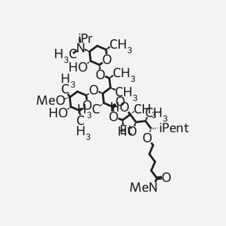 CCC[C@@H](C)[C@H](OCCCCC(=O)NC)[C@H](C)[C@@H](O)[C@](C)(O)[C@@H](CC)OC(=O)[C@H](C)[C@@H](O[C@H]1C[C@@](C)(OC)[C@@H](O)[C@H](C)O1)[C@H](C)[C@H](C)O[C@@H]1O[C@H](C)C[C@H](N(C)C(C)C)[C@H]1O